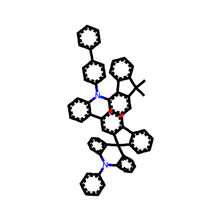 CC1(C)c2ccccc2-c2c(N(c3ccc(-c4ccccc4)cc3)c3ccccc3-c3ccc4c(c3)C3(c5ccccc5-4)c4ccccc4N(c4ccccc4)c4ccccc43)cccc21